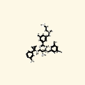 CCc1cccc(C2(NC[C@@H](O)[C@H](Cc3cc(F)cc(F)c3)NC(=O)c3cc(C)cc(CN(C)CCC(C)C)c3)CC2)c1